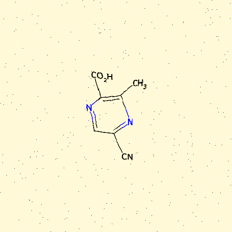 Cc1nc(C#N)cnc1C(=O)O